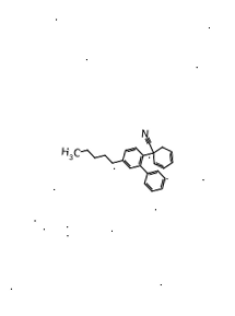 CCCCCc1ccc(C2(C#N)C=CC=CC2)c(-c2ccccc2)c1